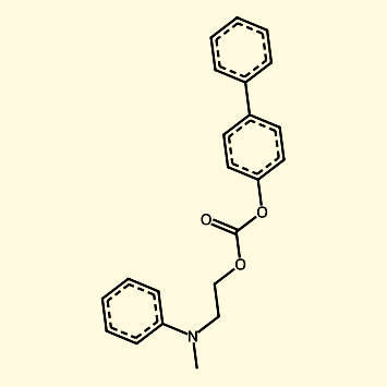 CN(CCOC(=O)Oc1ccc(-c2ccccc2)cc1)c1ccccc1